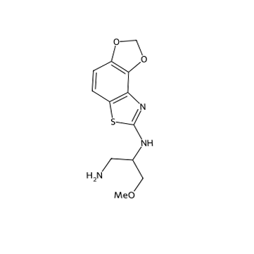 COCC(CN)Nc1nc2c3c(ccc2s1)OCO3